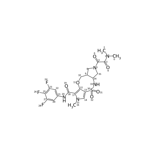 CN(C)C(=O)C(=O)N1CC2COc3c(cn(C)c3C(=O)Nc3cc(F)c(F)c(F)c3)S(=O)(=O)NC2C1